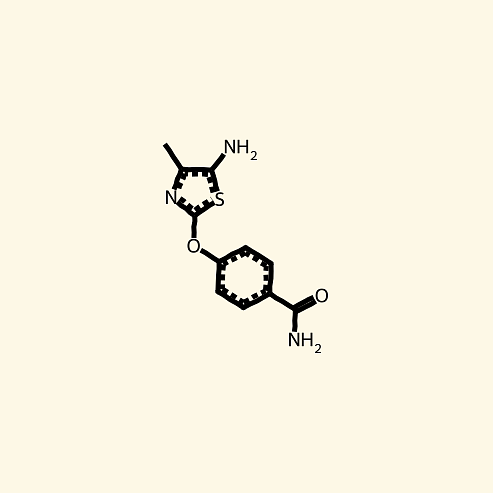 Cc1nc(Oc2ccc(C(N)=O)cc2)sc1N